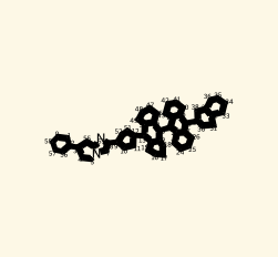 C1=CC(c2ccn3cc(-c4ccc(-c5c6ccccc6c(-c6c7ccccc7c(-c7ccc8ccccc8c7)c7ccccc67)c6ccccc56)cc4)nc3c2)=CCC1